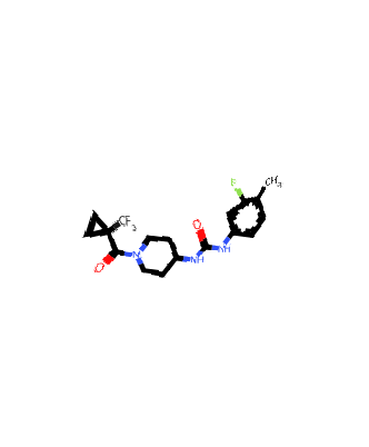 Cc1ccc(NC(=O)NC2CCN(C(=O)C3(C(F)(F)F)CC3)CC2)cc1F